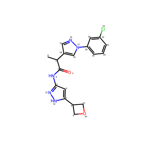 CC(C(=O)Nc1cc(C2COC2)[nH]n1)c1cnn(-c2cccc(Cl)c2)c1